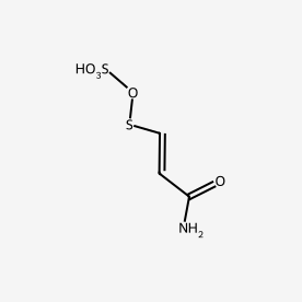 NC(=O)C=CSOS(=O)(=O)O